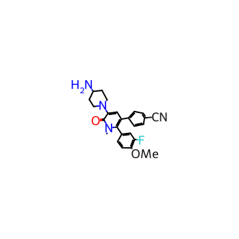 COc1ccc(-c2c(-c3ccc(C#N)cc3)cc(N3CCC(N)CC3)c(=O)n2C)cc1F